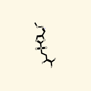 CO/N=C\c1cnc(S(=O)(=O)CCC(F)=C(F)F)o1